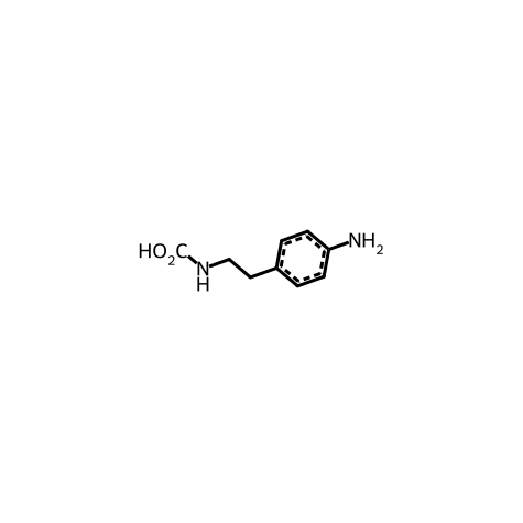 Nc1ccc(CCNC(=O)O)cc1